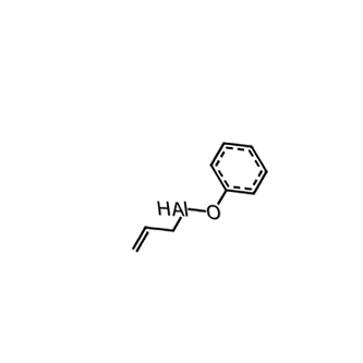 C=C[CH2][AlH][O]c1ccccc1